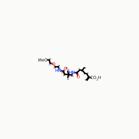 C=C(CCC(C)CC(=O)NCC(C)(C)CC(=O)NCCOCCOC)C(=O)O